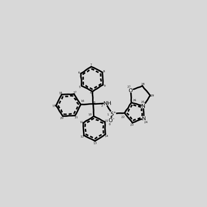 [O-][S+](NC(c1ccccc1)(c1ccccc1)c1ccccc1)c1cnn2c1OCC2